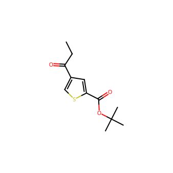 CCC(=O)c1csc(C(=O)OC(C)(C)C)c1